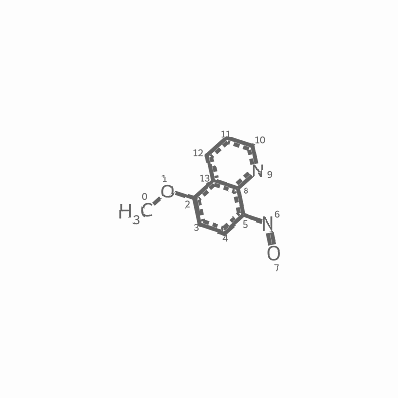 COc1ccc(N=O)c2ncccc12